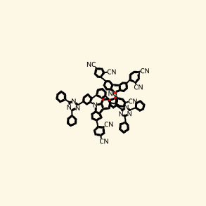 N#Cc1ccc(-c2ccc3c(c2)c2cc(-c4ccc(C#N)cc4C#N)ccc2n3-c2cc(-c3nc(-c4ccccc4)nc(-c4ccccc4)n3)ccc2-c2cccc(-c3ccc(-c4nc(-c5ccccc5)nc(-c5ccccc5)n4)cc3-n3c4ccc(-c5ccc(C#N)cc5C#N)cc4c4cc(-c5ccc(C#N)cc5C#N)ccc43)c2)c(C#N)c1